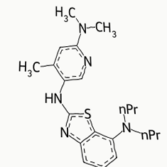 CCCN(CCC)c1cccc2nc(Nc3cnc(N(C)C)cc3C)sc12